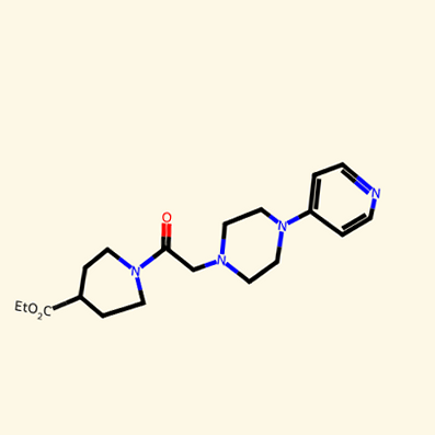 CCOC(=O)C1CCN(C(=O)CN2CCN(c3ccncc3)CC2)CC1